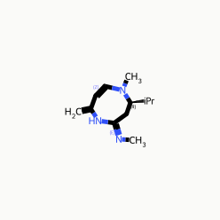 C=C1/C=C\N(C)[C@@H](C(C)C)C/C(=N\C)N1